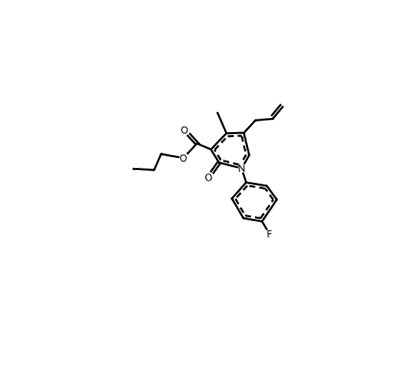 C=CCc1cn(-c2ccc(F)cc2)c(=O)c(C(=O)OCCC)c1C